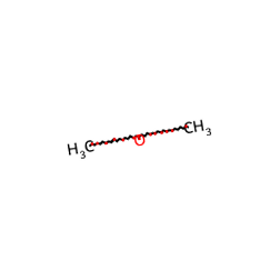 CCCCCCCCC=CCCCCCCCCC(=O)CCCCCCCCCCCCCCCCCC